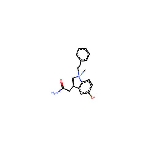 C[N+]1(Cc2ccccc2)C=C(CC(N)=O)c2cc(O)ccc21